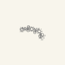 CC1(C)OB(c2cccc(C(=O)Nc3ccc(S(=O)(=O)NCc4ccccc4)cc3)c2)OC1(C)C